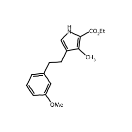 CCOC(=O)c1[nH]cc(CCc2cccc(OC)c2)c1C